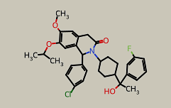 COc1cc2c(cc1OC(C)C)C(c1ccc(Cl)cc1)N(C1CCC(C(C)(O)c3cccc(F)c3)CC1)C(=O)C2